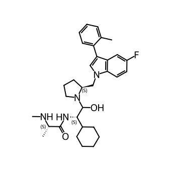 CN[C@@H](C)C(=O)N[C@@H](C1CCCCC1)C(O)N1CCC[C@H]1Cn1cc(-c2ccccc2C)c2cc(F)ccc21